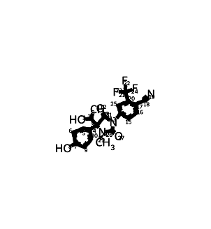 CC(O)C1(c2ccc(O)cc2)C(=O)N(c2ccc(C#N)c(C(F)(F)F)c2)C(=O)N1C